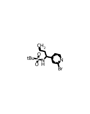 C=CCC(NS(=O)(=O)C(C)(C)C)c1ccnc(Br)c1